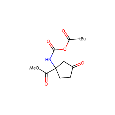 COC(=O)C1(NC(=O)OC(=O)C(C)(C)C)CCC(=O)C1